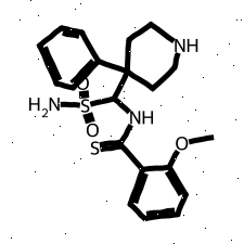 COc1ccccc1C(=S)NC(C1(c2ccccc2)CCNCC1)S(N)(=O)=O